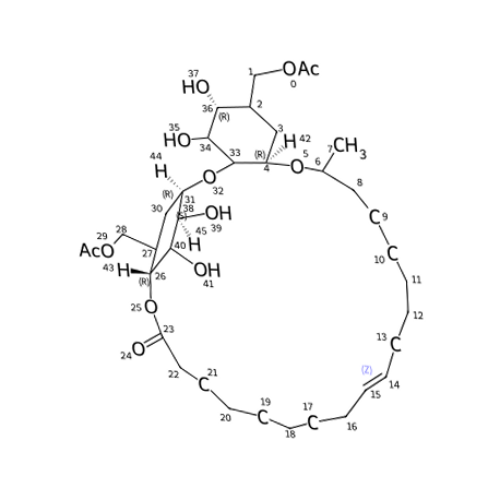 CC(=O)OCC1C[C@H]2OC(C)CCCCCC/C=C\CCCCCCCC(=O)O[C@@H]3C(COC(C)=O)C[C@@H](OC2C(O)[C@@H]1O)[C@@H](O)C3O